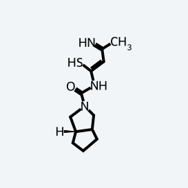 CC(=N)/C=C(\S)NC(=O)N1CC2CCC[C@@H]2C1